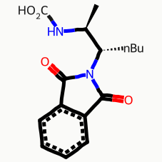 CCCC[C@@H]([C@H](C)NC(=O)O)N1C(=O)c2ccccc2C1=O